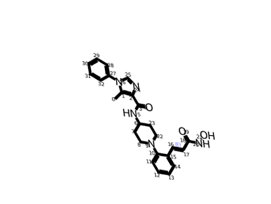 Cc1c(C(=O)NC2CCN(c3ccccc3/C=C/C(=O)NO)CC2)ncn1-c1ccccc1